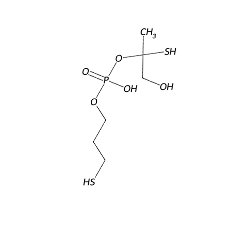 CC(S)(CO)OP(=O)(O)OCCCS